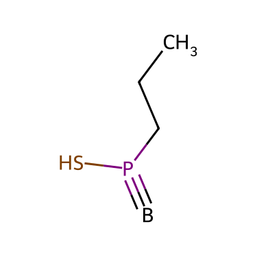 B#P(S)CCC